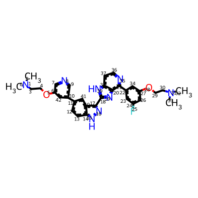 CN(C)CCOc1cncc(-c2ccc3[nH]nc(-c4nc5c(-c6cc(F)cc(OCCN(C)C)c6)nccc5[nH]4)c3c2)c1